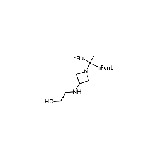 CCCCCC(C)(CCCC)N1CC(NCCO)C1